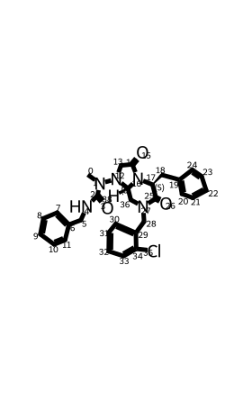 CN(C(=O)NCc1ccccc1)N1CC(=O)N2[C@@H](Cc3ccccc3)C(=O)N(Cc3ccccc3Cl)C[C@@H]21